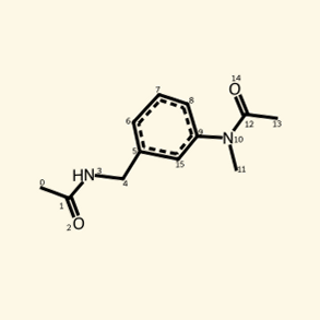 CC(=O)NCc1cccc(N(C)C(C)=O)c1